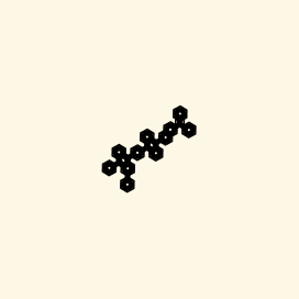 c1ccc(-c2ccc3c(-c4ccc(-c5c6ccccc6c(-c6ccc7cc(N(c8ccccc8)c8ccccc8)ccc7c6)c6ccccc56)cc4)c4ccccc4c(-c4ccccc4)c3c2)cc1